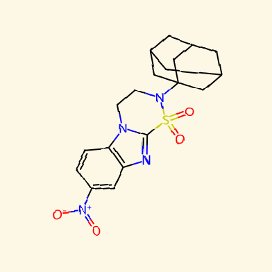 O=[N+]([O-])c1ccc2c(c1)nc1n2CCN(C23CC4CC(CC(C4)C2)C3)S1(=O)=O